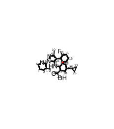 Cc1cccnc1-n1nc(C)c(-c2ccccc2F)c1Nc1ccc(C2CC2)cc1C(=O)O